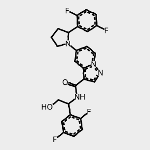 O=C(NC(CO)c1cc(F)ccc1F)c1cnn2ccc(N3CCCC3c3cc(F)ccc3F)cc12